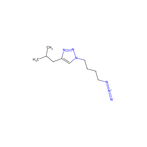 C[C](C)Cc1cn(CCCCN=[N+]=[N-])nn1